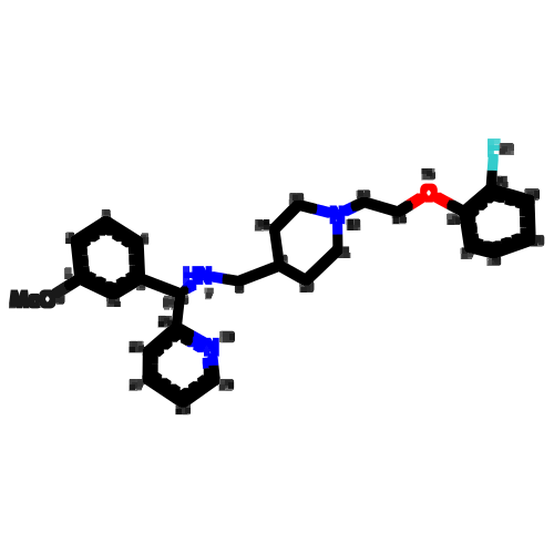 COc1cccc([C@@H](NCC2CCN(CCOc3ccccc3F)CC2)c2ccccn2)c1